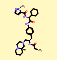 CCC(=O)N[C@H](Cc1ccc(NC(=O)[C@@H](NC(=O)c2ccnn2C)C2CCCCC2)cc1)CN1CCN2CCCC[C@H]2C1